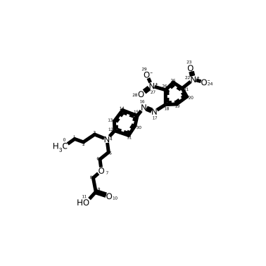 CCCCN(CCOCC(=O)O)c1ccc(N=Nc2ccc([N+](=O)[O-])cc2[N+](=O)[O-])cc1